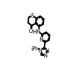 CC(C)n1cnnc1-c1cccc(Nc2cccc3c2C(=O)CCS3)n1